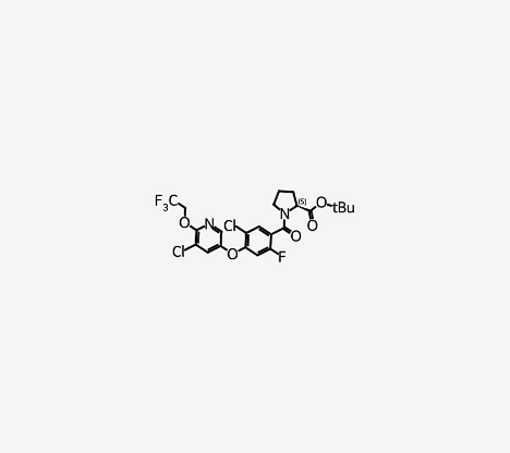 CC(C)(C)OC(=O)[C@@H]1CCCN1C(=O)c1cc(Cl)c(Oc2cnc(OCC(F)(F)F)c(Cl)c2)cc1F